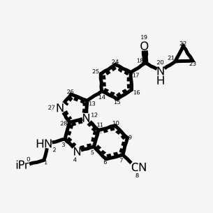 CC(C)CNc1nc2cc(C#N)ccc2n2c(-c3ccc(C(=O)NC4CC4)cc3)cnc12